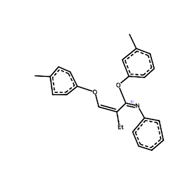 CCC(=COc1ccc(C)cc1)/C(=N\c1ccccc1)Oc1cccc(C)c1